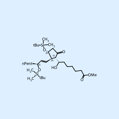 CCCCC[C@@H](C=C[C@@H]1[C@@H](C(O)CCCCCC(=O)OC)C(=O)C[C@H]1O[Si](C)(C)C(C)(C)C)O[Si](C)(C)C(C)(C)C